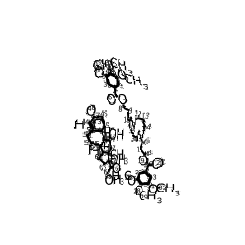 COc1cc(C(=O)OCCCN2CCCN(CCCOC(=O)c3cc(OC)c(OC)c(OC)c3)CC2)cc(OC)c1OC.C[C@]12C=CC(=O)C=C1CC[C@@H]1[C@@H]2[C@@H](O)C[C@@]2(C)[C@H]1CC[C@]2(O)C(=O)CO